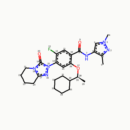 Cc1nn(C)cc1NC(=O)c1cc(F)c(-n2nc3n(c2=O)CCCC3)cc1O[C@@H](C)C1CCCCC1